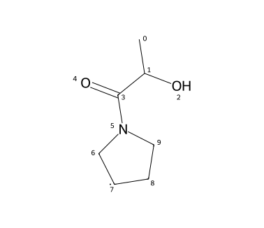 CC(O)C(=O)N1C[CH]CC1